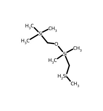 C[SiH2]C[Si](C)(C)OC[Si](C)(C)C